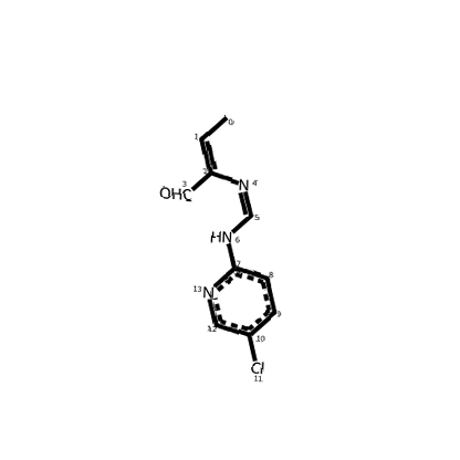 C/C=C(C=O)\N=C/Nc1ccc(Cl)cn1